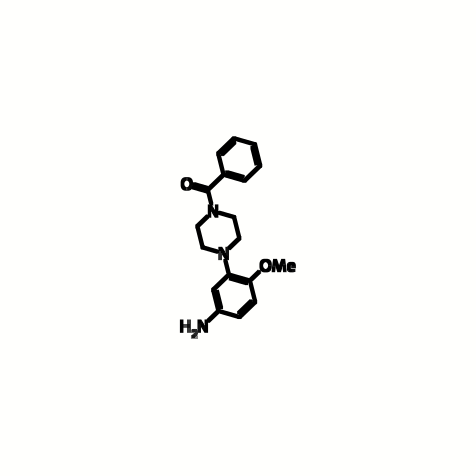 COc1ccc(N)cc1N1CCN(C(=O)c2ccccc2)CC1